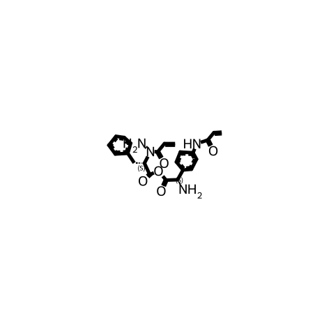 C=CC(=O)Nc1ccc([C@H](N)C(=O)OC(=O)[C@H](Cc2ccccc2)N(N)C(=O)C=C)cc1